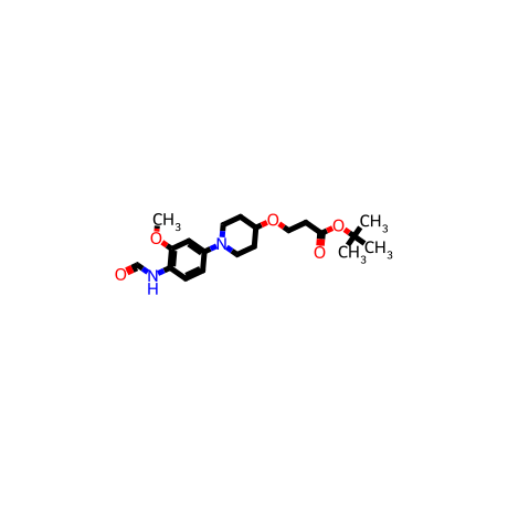 COc1cc(N2CCC(OCCC(=O)OC(C)(C)C)CC2)ccc1NC=O